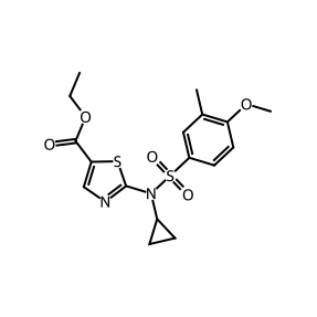 CCOC(=O)c1cnc(N(C2CC2)S(=O)(=O)c2ccc(OC)c(C)c2)s1